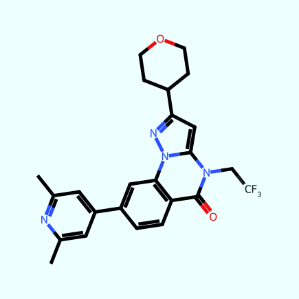 Cc1cc(-c2ccc3c(=O)n(CC(F)(F)F)c4cc(C5CCOCC5)nn4c3c2)cc(C)n1